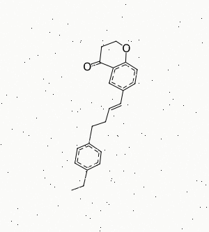 CCc1ccc(CCC=Cc2ccc3c(c2)C(=O)CCO3)cc1